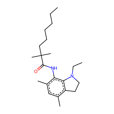 CCCCCCC(C)(C)C(=O)Nc1c(C)cc(C)c2c1N(CC)CC2